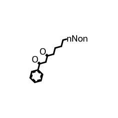 CCCCCCCCCCCCCC(=O)CC(=O)c1ccccc1